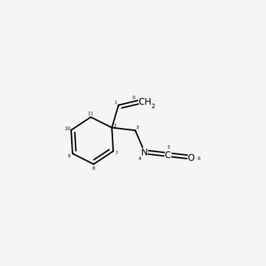 C=CC1(CN=C=O)C=CC=CC1